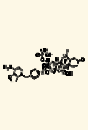 C[C@]12C=CC(=O)C=C1[C@@H](F)C[C@H]1[C@@H]3C[C@H]4O[C@@H](c5ccc(Cc6ccc(N)c7c6CCO7)cc5)O[C@@]4(C(=O)COP(=O)(O)O)[C@@]3(C)C[C@H](O)[C@@]12F